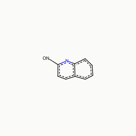 O=Nc1ccc2ccccc2n1